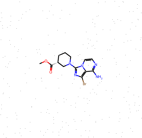 COC(=O)[C@@H]1CCCN(c2nc(Br)c3c(N)nccn23)C1